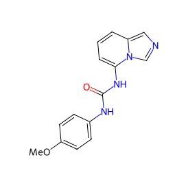 COc1ccc(NC(=O)Nc2cccc3cncn23)cc1